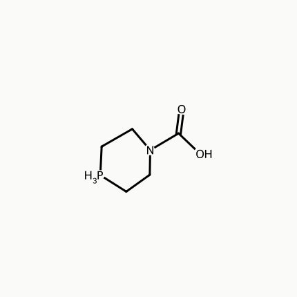 O=C(O)N1CC[PH3]CC1